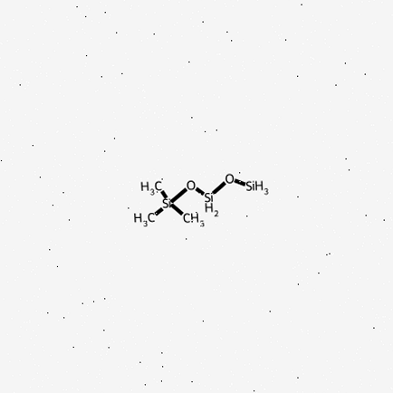 C[Si](C)(C)O[SiH2]O[SiH3]